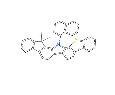 CC1(C)c2ccccc2-c2ccc3c4ccc5c6ccccc6sc5c4n(-c4cccc5ccccc45)c3c21